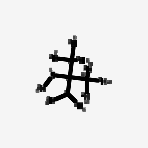 [2H]SC(C([2H])[2H])(C([2H])([2H])[2H])C([2H])([2H])[2H]